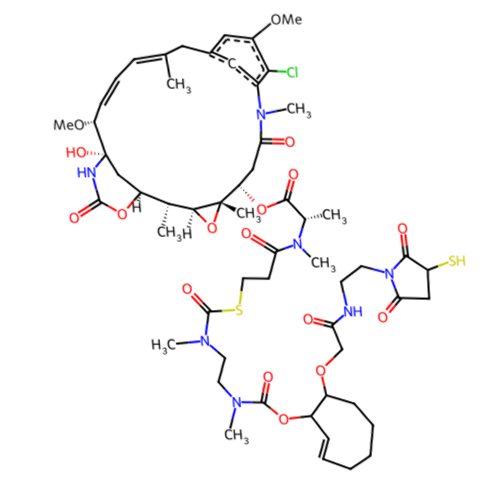 COc1cc2cc(c1Cl)N(C)C(=O)C[C@H](OC(=O)[C@H](C)N(C)C(=O)CCSC(=O)N(C)CCN(C)C(=O)OC1/C=C/CCCCC1OCC(=O)NCCN1C(=O)CC(S)C1=O)[C@]1(C)O[C@H]1[C@H](C)[C@@H]1C[C@@](O)(NC(=O)O1)[C@H](OC)/C=C/C=C(\C)C2